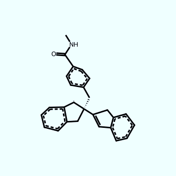 CNC(=O)c1ccc(C[C@@]2(C3=Cc4ccccc4C3)[CH]c3ccccc3C2)cc1